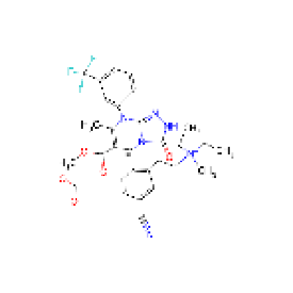 CC[N+](C)(CC)CCc1cc(C#N)ccc1[C@@H]1C(C(=O)OC)=C(C)N(c2cccc(C(F)(F)F)c2)c2n[nH]c(=O)n21.O=C[O-]